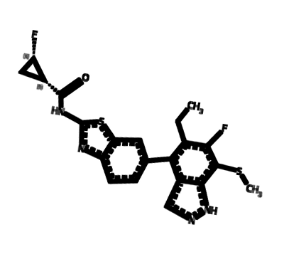 CCc1c(F)c(SC)c2[nH]ncc2c1-c1ccc2nc(NC(=O)[C@@H]3C[C@@H]3F)sc2c1